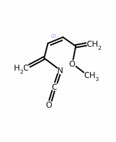 C=C(/C=C\C(=C)OC)N=C=O